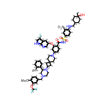 COc1ccc(CN2CCN(C3CC4(CCN(c5ccc(C(=O)NS(=O)(=O)c6ccc(NCC7CCC(C)(O)CC7)c([N+](=O)[O-])c6)c(Oc6cnc7[nH]cc(F)c7c6)c5)CC4)C3)C(c3ccccc3C(C)C)C2)cc1OC(F)F